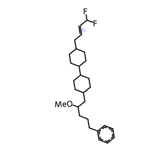 COC(CCCc1ccccc1)CC1CCC(C2CCC(C/C=C/C(F)F)CC2)CC1